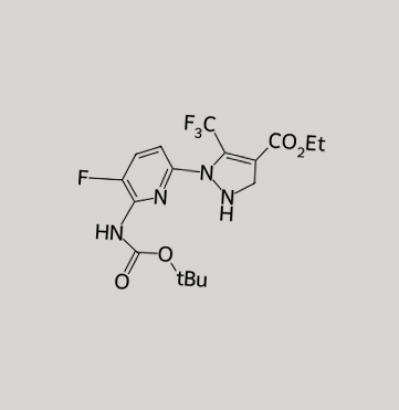 CCOC(=O)C1=C(C(F)(F)F)N(c2ccc(F)c(NC(=O)OC(C)(C)C)n2)NC1